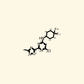 Cc1noc(-c2nc(Cl)cc(NC3CCC(F)(F)CC3)n2)n1